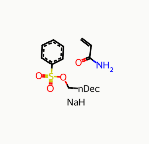 C=CC(N)=O.CCCCCCCCCCCOS(=O)(=O)c1ccccc1.[NaH]